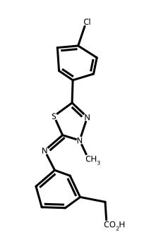 Cn1nc(-c2ccc(Cl)cc2)s/c1=N/c1cccc(CC(=O)O)c1